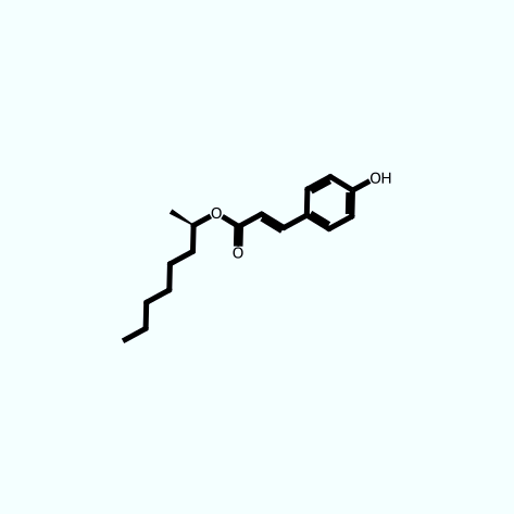 CCCCCC[C@@H](C)OC(=O)C=Cc1ccc(O)cc1